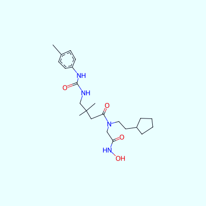 Cc1ccc(NC(=O)NCC(C)(C)CC(=O)N(CCC2CCCC2)CC(=O)NO)cc1